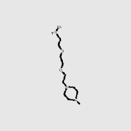 CCNCCOCCOCCN1CCN(C)CC1